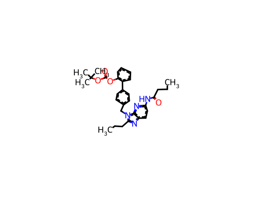 CCCC(=O)Nc1ccc2nc(CCC)n(Cc3ccc(-c4ccccc4OC(=O)OC(C)(C)C)cc3)c2n1